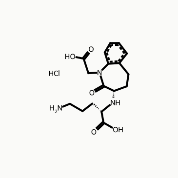 Cl.NCCC[C@H](N[C@H]1CCc2ccccc2N(CC(=O)O)C1=O)C(=O)O